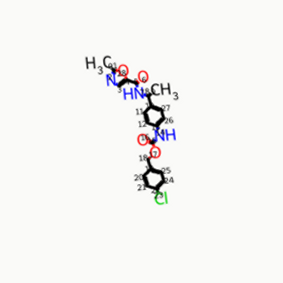 Cc1ncc(C(=O)NC(C)c2ccc(NC(=O)OCc3ccc(Cl)cc3)cc2)o1